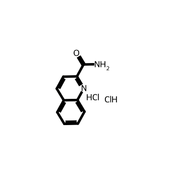 Cl.Cl.NC(=O)c1ccc2ccccc2n1